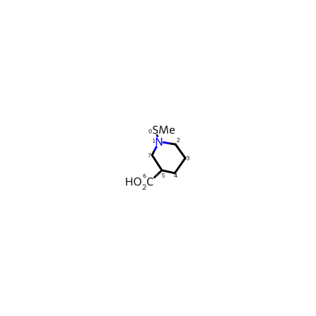 CSN1CCCC(C(=O)O)C1